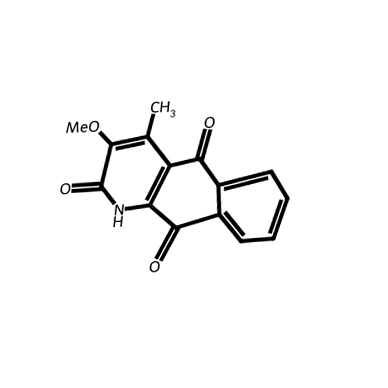 COc1c(C)c2c([nH]c1=O)C(=O)c1ccccc1C2=O